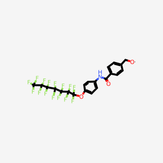 [O]Cc1ccc(C(=O)Nc2ccc(OC(F)(F)C(F)(F)C(F)(F)C(F)(F)C(F)(F)C(F)(F)C(F)(F)F)cc2)cc1